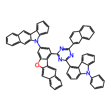 c1ccc(-n2c3ccccc3c3c(-c4nc(-c5ccc6ccccc6c5)nc(-c5cc(-n6c7ccccc7c7cc8ccccc8cc76)cc6oc7cc8ccccc8cc7c56)n4)cccc32)cc1